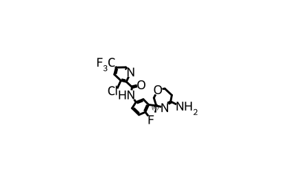 C[C@@]1(c2cc(NC(=O)c3ncc(C(F)(F)F)cc3Cl)ccc2F)COCCC(N)=N1